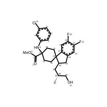 COC(=O)C1(Nc2cccc(Cl)c2)CCC2(CC1)c1cc(F)c(F)cc1CC2C[C@@H](C)CO